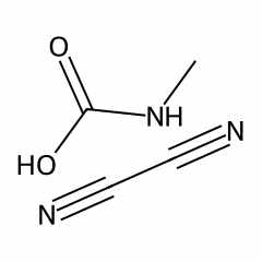 CNC(=O)O.N#CC#N